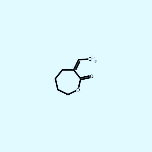 CC=C1CCCCOC1=O